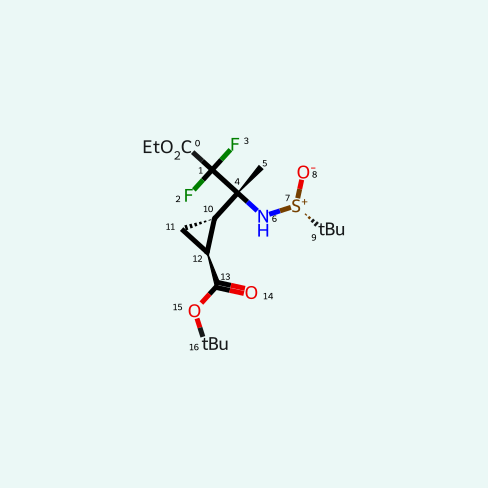 CCOC(=O)C(F)(F)[C@](C)(N[S@+]([O-])C(C)(C)C)[C@H]1C[C@@H]1C(=O)OC(C)(C)C